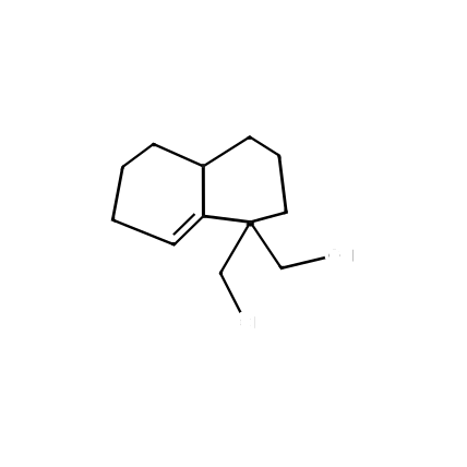 OCC1(CO)CCCC2CCCC=C21